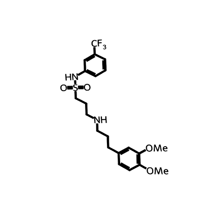 COc1ccc(CCCNCCCS(=O)(=O)Nc2cccc(C(F)(F)F)c2)cc1OC